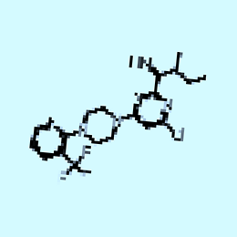 CCC(C)C(=N)c1nc(Cl)cc(N2CCN(c3ncccc3C(F)(F)F)CC2)n1